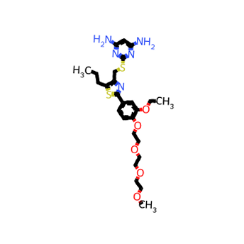 CCCc1sc(-c2ccc(OCCOCCOCCOC)c(OCC)c2)nc1CSc1nc(N)cc(N)n1